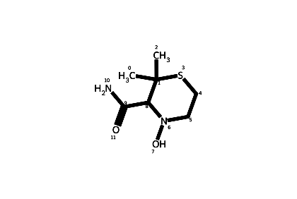 CC1(C)SCCN(O)C1C(N)=O